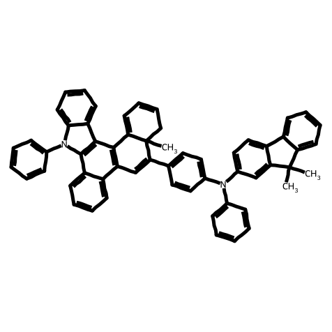 CC12CC=CC=C1c1c(c3ccccc3c3c1c1ccccc1n3-c1ccccc1)C=C2c1ccc(N(c2ccccc2)c2ccc3c(c2)C(C)(C)c2ccccc2-3)cc1